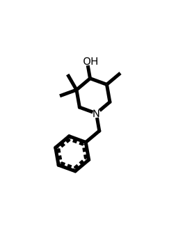 CC1CN(Cc2ccccc2)CC(C)(C)C1O